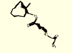 CC(C)C(=O)OCC(=O)OC1(C)CCCC1